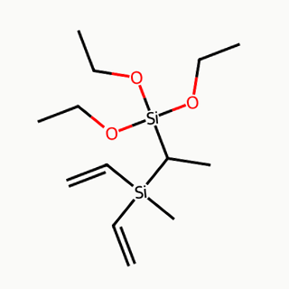 C=C[Si](C)(C=C)C(C)[Si](OCC)(OCC)OCC